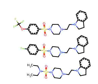 CCN(CC)S(=O)(=O)N1CCN(CCN2CCc3ccccc32)CC1.O=S(=O)(c1ccc(F)cc1)N1CCN(CCN2CCc3ccccc32)CC1.O=S(=O)(c1ccc(OC(F)(F)F)cc1)N1CCN(CCN2CCc3ccccc32)CC1